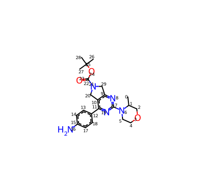 CC1COCCN1c1nc2c(c(-c3ccc(N)cc3)n1)CN(C(=O)OC(C)(C)C)C2